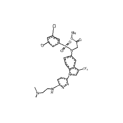 CN(C)CCNc1ccc(-n2cc(C(F)(F)F)c3cc(N(CC(=O)OC(C)(C)C)S(=O)(=O)c4cc(Cl)cc(Cl)c4)ccc32)nn1